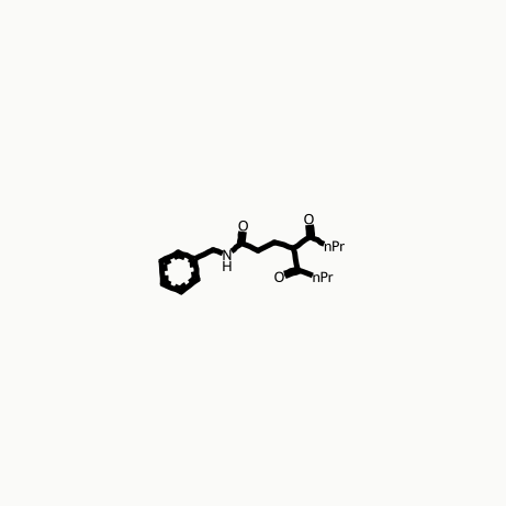 CCCC(=O)C(CCC(=O)NCc1ccccc1)C(=O)CCC